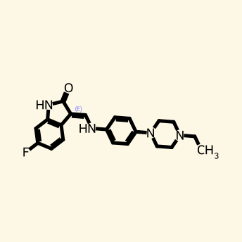 CCN1CCN(c2ccc(N/C=C3/C(=O)Nc4cc(F)ccc43)cc2)CC1